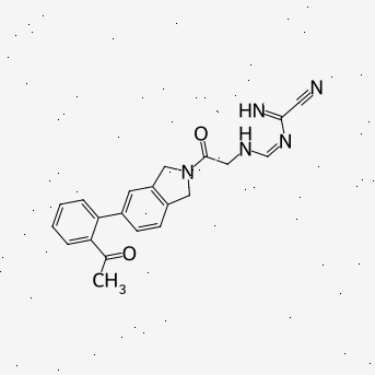 CC(=O)c1ccccc1-c1ccc2c(c1)CN(C(=O)CN/C=N\C(=N)C#N)C2